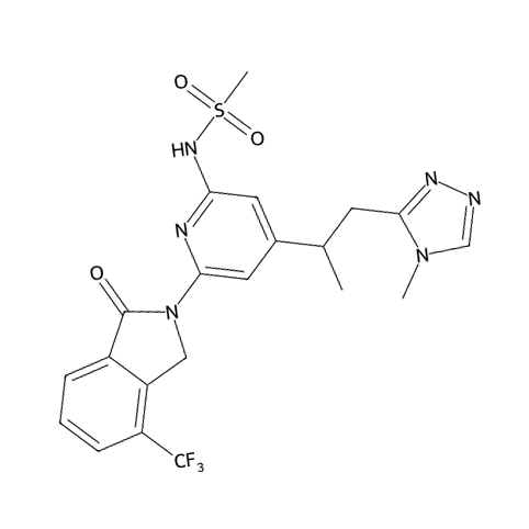 CC(Cc1nncn1C)c1cc(NS(C)(=O)=O)nc(N2Cc3c(cccc3C(F)(F)F)C2=O)c1